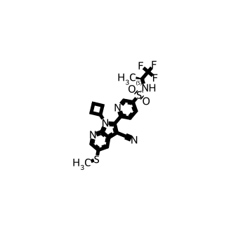 CSc1cnc2c(c1)c(C#N)c(-c1ccc(S(=O)(=O)N[C@@H](C)C(F)(F)F)cn1)n2C1CCC1